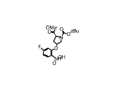 COC(=O)[C@@H]1C[C@H](Oc2cc(F)ccc2[NH+]([O-])O)CN1C(=O)OC(C)(C)C